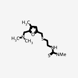 CNC(=S)NCCSCc1cc(C)c(CN(C)C)o1